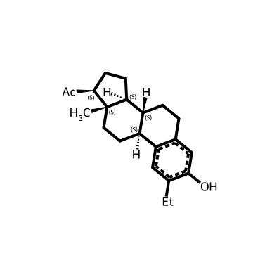 CCc1cc2c(cc1O)CC[C@@H]1[C@@H]2CC[C@]2(C)[C@@H](C(C)=O)CC[C@@H]12